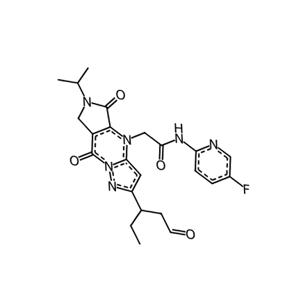 CCC(CC=O)c1cc2n(CC(=O)Nc3ccc(F)cn3)c3c(c(=O)n2n1)CN(C(C)C)C3=O